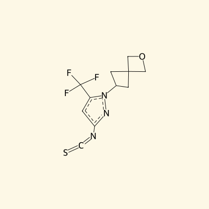 FC(F)(F)c1cc(N=C=S)nn1C1CC2(COC2)C1